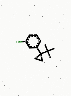 CC(C)(C)C1(c2cccc(Cl)c2)CC1